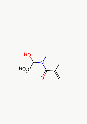 C=C(C)C(=O)N(C)C(O)C(=O)O